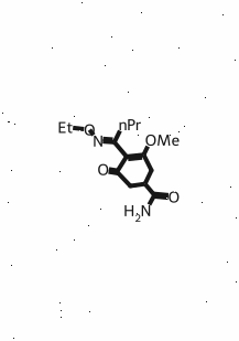 CCCC(=NOCC)C1=C(OC)CC(C(N)=O)CC1=O